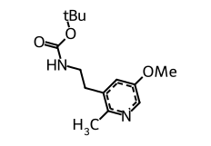 COc1cnc(C)c(CCNC(=O)OC(C)(C)C)c1